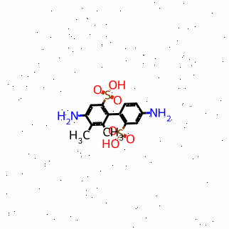 Cc1c(N)cc(S(=O)(=O)O)c(-c2ccc(N)cc2S(=O)(=O)O)c1C